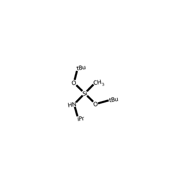 CC(C)N[Si](C)(OC(C)(C)C)OC(C)(C)C